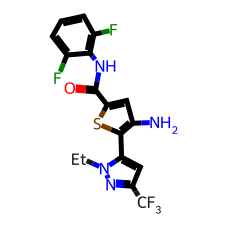 CCn1nc(C(F)(F)F)cc1-c1sc(C(=O)Nc2c(F)cccc2F)cc1N